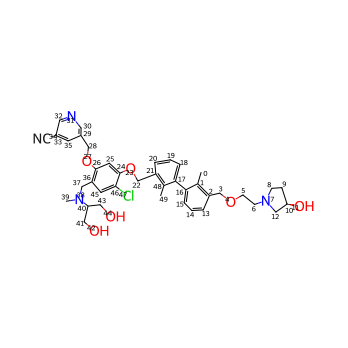 Cc1c(COCCN2CC[C@@H](O)C2)cccc1-c1cccc(COc2cc(OCc3cncc(C#N)c3)c(CN(C)C(CO)CO)cc2Cl)c1C